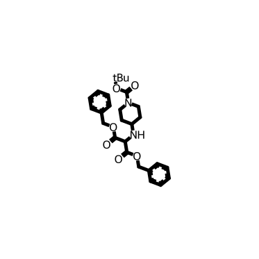 CC(C)(C)OC(=O)N1CCC(NC(C(=O)OCc2ccccc2)C(=O)OCc2ccccc2)CC1